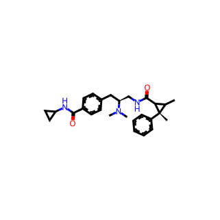 CC1C(C(=O)NC[C@H](Cc2ccc(C(=O)NC3CC3)cc2)N(C)C)[C@@]1(C)c1ccccc1